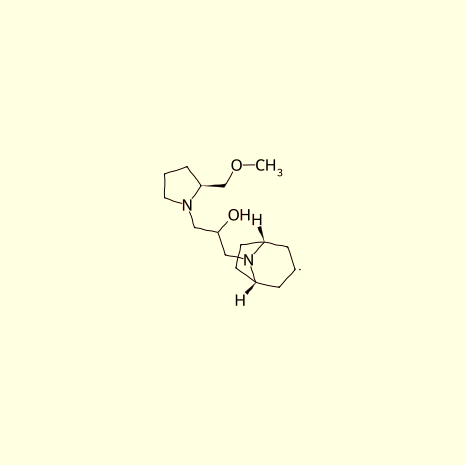 COC[C@@H]1CCCN1CC(O)CN1[C@@H]2C[CH]C[C@H]1CC2